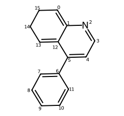 C1=c2nccc(-c3ccccc3)c2=CCC1